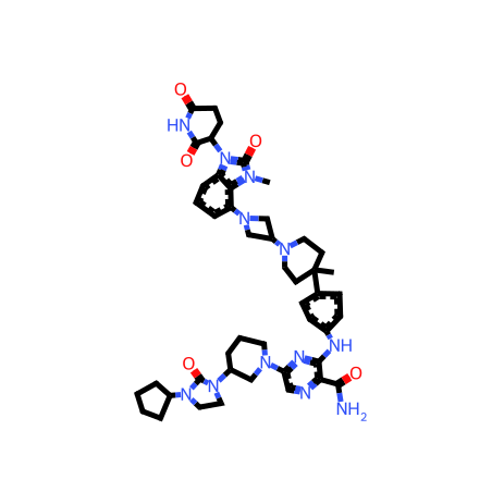 Cn1c(=O)n(C2CCC(=O)NC2=O)c2cccc(N3CC(N4CCC(C)(c5ccc(Nc6nc(N7CCCC(N8CCN(C9CCCC9)C8=O)C7)cnc6C(N)=O)cc5)CC4)C3)c21